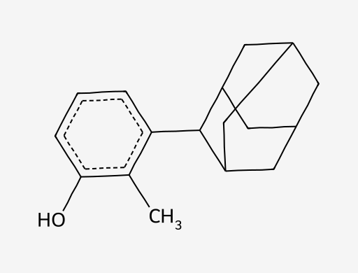 Cc1c(O)cccc1C1C2CC3CC(C2)CC1C3